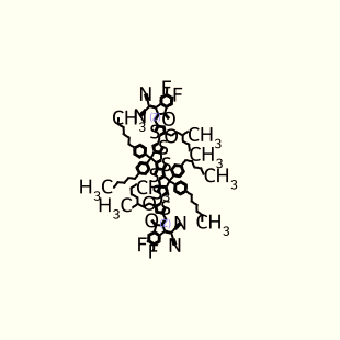 CCCCCCc1ccc(C2(c3ccc(CCCCCC)cc3)c3cc(-c4sc(/C=C5\C(=O)c6cc(F)c(F)cc6C5=C(C#N)C#N)cc4OCC(CC)CCCC)sc3-c3sc4c5c(sc4c32)-c2sc(-c3sc(/C=C4\C(=O)c6cc(F)c(F)cc6C4=C(C#N)C#N)cc3OCC(CC)CCCCC)cc2C5(c2ccc(CCCCCC)cc2)c2ccc(CCCCCC)cc2)cc1